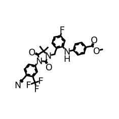 COC(=O)c1ccc(Nc2cc(F)ccc2CN2C(=O)N(c3ccc(C#N)c(C(F)(F)F)c3)C(=O)C2(C)C)cc1